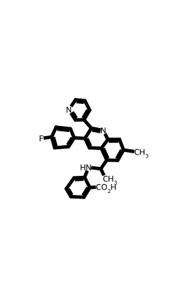 Cc1cc(C(C)Nc2ccccc2C(=O)O)c2cc(-c3ccc(F)cc3)c(-c3cccnc3)nc2c1